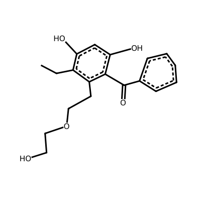 CCc1c(O)cc(O)c(C(=O)c2ccccc2)c1CCOCCO